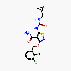 NC(=O)c1c(OCc2cccc(Cl)c2Cl)nsc1NC(=O)NCC1CC1